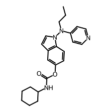 CCCN(c1ccncc1)n1ccc2cc(OC(=O)NC3CCCCC3)ccc21